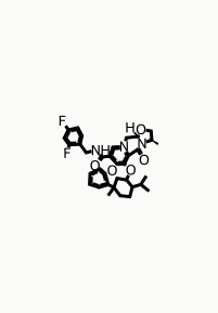 CC(C)C1CCC(C)(c2ccccc2)CC1Oc1c2n(cc(C(=O)NCc3ccc(F)cc3F)c1=O)C[C@@H]1OC[C@@H](C)N1C2=O